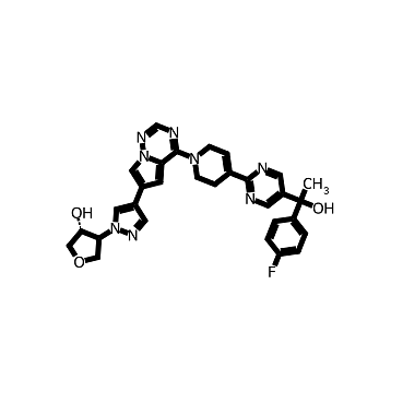 CC(O)(c1ccc(F)cc1)c1cnc(C2=CCN(c3ncnn4cc(-c5cnn(C6COC[C@@H]6O)c5)cc34)CC2)nc1